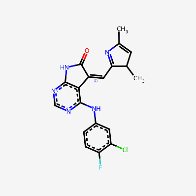 CC1=CC(C)C(/C=C2\C(=O)Nc3ncnc(Nc4ccc(F)c(Cl)c4)c32)=N1